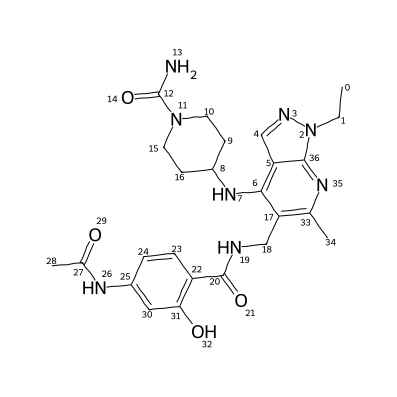 CCn1ncc2c(NC3CCN(C(N)=O)CC3)c(CNC(=O)c3ccc(NC(C)=O)cc3O)c(C)nc21